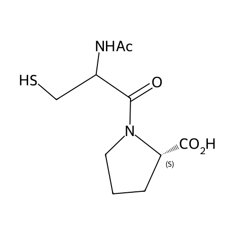 CC(=O)NC(CS)C(=O)N1CCC[C@H]1C(=O)O